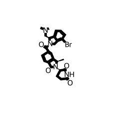 C[C@@H]1c2cc(C(=O)N3Cc4c(Br)cccc4[C@@H]3CN(C)C)ccc2C(=O)N1[C@H]1CCC(=O)NC1=O